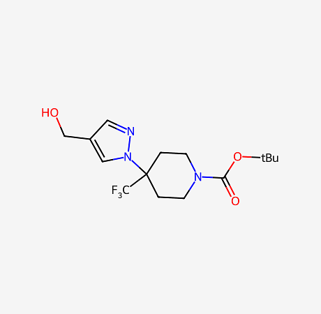 CC(C)(C)OC(=O)N1CCC(n2cc(CO)cn2)(C(F)(F)F)CC1